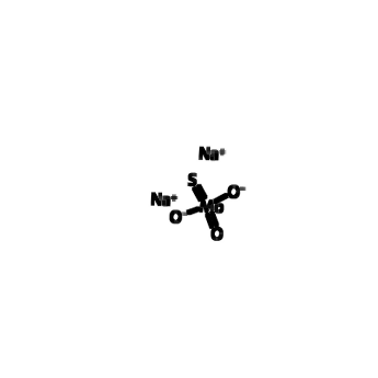 [Na+].[Na+].[O]=[Mo]([O-])([O-])=[S]